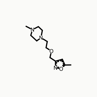 Cc1cc(COCCN2CCN(C)CC2)no1